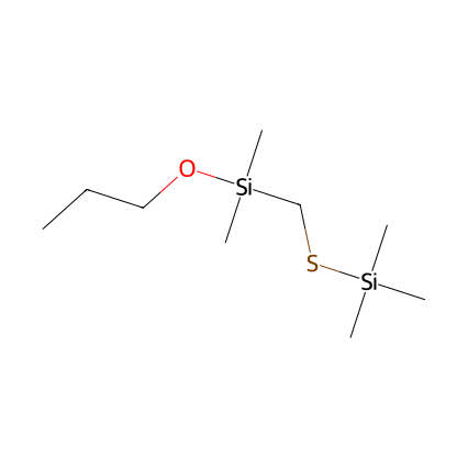 CCCO[Si](C)(C)CS[Si](C)(C)C